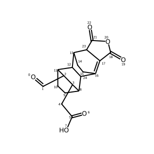 O=CC1C(CC(=O)O)C2CCC1C1C3CCC(=C4C(=O)OC(=O)C43)C21